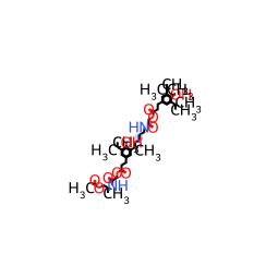 CC(=O)OCC(C)NC(=O)COC(=O)CCc1cc(C(C)C)c(O)c(C(C)C/C=C/CNC(=O)COC(=O)CCc2cc(C(C)C)c(O)c(C(C)(C)C)c2)c1